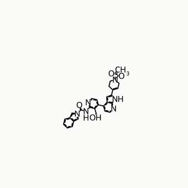 CS(=O)(=O)N1CC=C(c2cc3c(-c4ccnc(NC(=O)n5cc6ccccc6c5)c4CO)ccnc3[nH]2)CC1